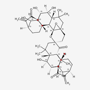 C=C1C(=O)[C@@]23[C@@H](CC[C@@H]1[C@H]2O)[C@]12C(=O)[C@@]4(CC[C@@]56CC(C)(C)[C@H]7[C@H](O)[C@@]8(O)OC[C@@]7([C@@H]7CC[C@H]9C(=C)C(=O)[C@]78[C@@H]9O)[C@]5(O4)O6)CC(C)(C)[C@H]1[C@H](O)[C@H]3O[C@H]2C